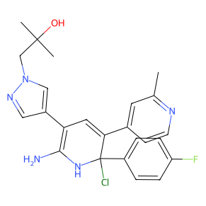 Cc1cc(C2=CC(c3cnn(CC(C)(C)O)c3)=C(N)NC2(Cl)c2ccc(F)cc2)ccn1